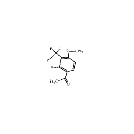 COc1ccc(C(C)=O)c(F)c1C(F)(I)I